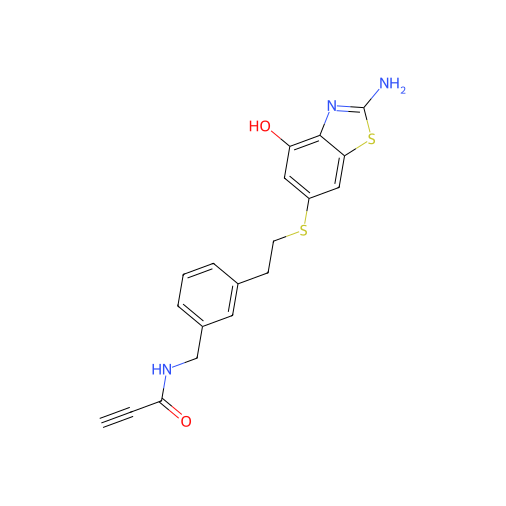 C#CC(=O)NCc1cccc(CCSc2cc(O)c3nc(N)sc3c2)c1